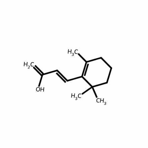 C=C(O)/C=C/C1=C(C)CCCC1(C)C